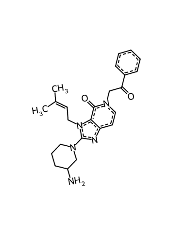 CC(C)=CCn1c(N2CCCC(N)C2)nc2ccn(CC(=O)c3ccccc3)c(=O)c21